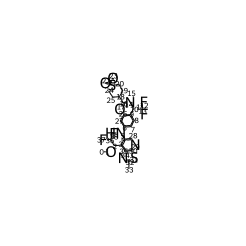 CO[C@@H](c1c(Nc2ccc([C@@H](C(F)F)N(C)C(=O)C3CCS(=O)(=O)CC3)cc2)cnc2sc(C)nc12)C(F)F